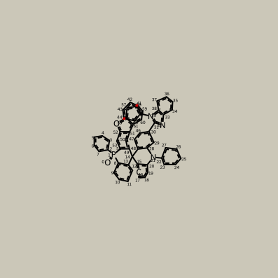 O=P1(c2ccccc2)c2ccccc2C2(c3ccccc3N(c3ccccc3)c3cc(-c4nc5ccccc5n4-c4ccccc4)ccc32)c2cc3c(cc21)oc1ccccc13